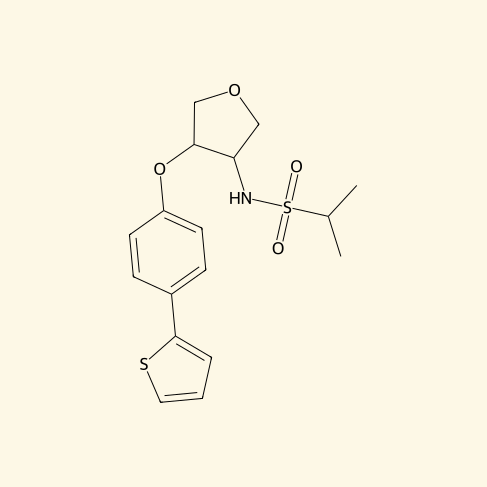 CC(C)S(=O)(=O)NC1COCC1Oc1ccc(-c2cccs2)cc1